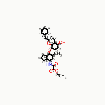 CCOC(=O)C(=O)Nc1cc(C)c(Oc2ccc(O)c(CC)c2OCCc2ccccc2)c2c1CCC2